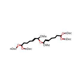 CCCCCCCCCCOC(CCCC=CC(OC)OC(C=CCCCC(OCCCCCCCCCC)OCCCCCCCCCC)OC)OCCCCCCCCCC